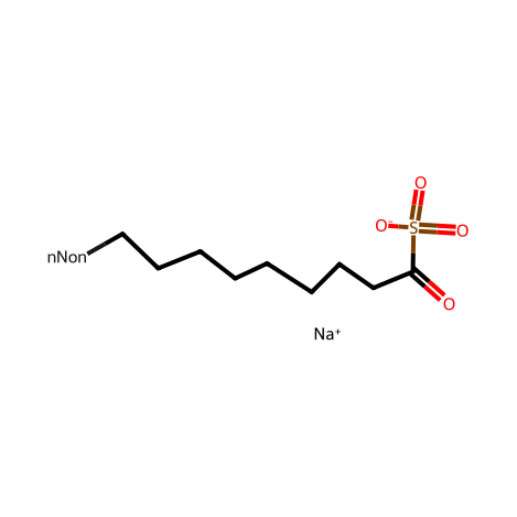 CCCCCCCCCCCCCCCCCC(=O)S(=O)(=O)[O-].[Na+]